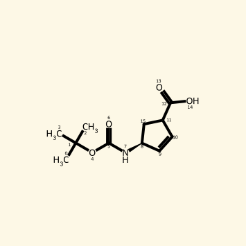 CC(C)(C)OC(=O)N[C@@H]1C=CC(C(=O)O)C1